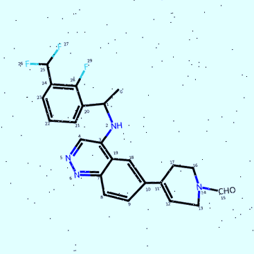 CC(Nc1cnnc2ccc(C3=CCN(C=O)CC3)cc12)c1cccc(C(F)F)c1F